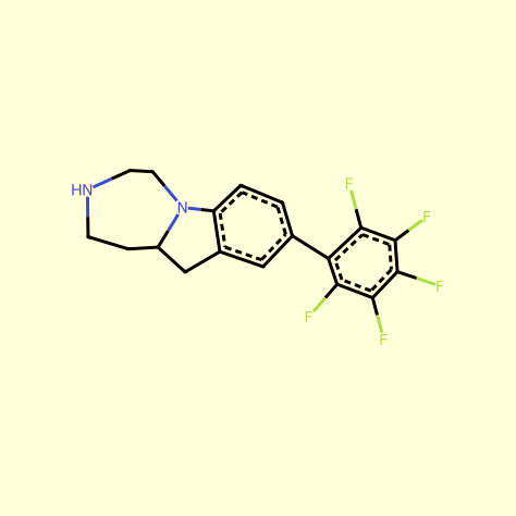 Fc1c(F)c(F)c(-c2ccc3c(c2)CC2CCNCCN32)c(F)c1F